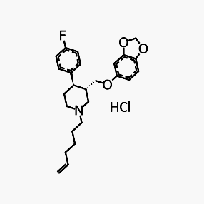 C=CCCCCN1CC[C@@H](c2ccc(F)cc2)[C@H](COc2ccc3c(c2)OCO3)C1.Cl